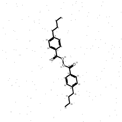 CCCCc1ccc(C(=O)OOC(=O)c2ccc(CCCC)cc2)cc1